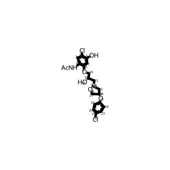 CC(=O)Nc1cc(Cl)c(O)cc1OC[C@@H](O)CN1C[C@@H](Oc2ccc(Cl)cc2)CO1